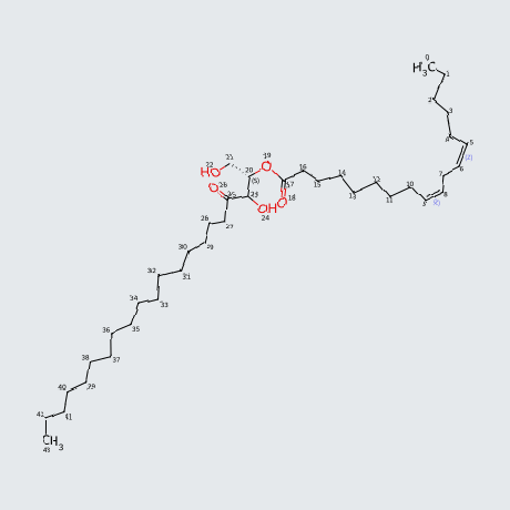 CCCCC/C=C\C/C=C\CCCCCCCC(=O)O[C@@H](CO)C(O)C(=O)CCCCCCCCCCCCCCCCC